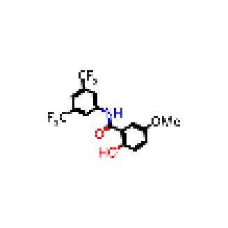 COc1ccc(O)c(C(=O)Nc2cc(C(F)(F)F)cc(C(F)(F)F)c2)c1